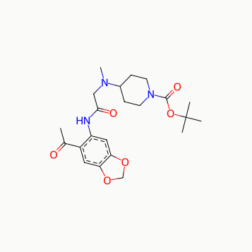 CC(=O)c1cc2c(cc1NC(=O)CN(C)C1CCN(C(=O)OC(C)(C)C)CC1)OCO2